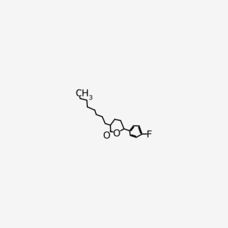 CCCCCCCCC1CCC(c2ccc(F)cc2)OC1=O